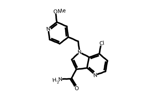 COc1cc(Cn2cc(C(N)=O)c3nccc(Cl)c32)ccn1